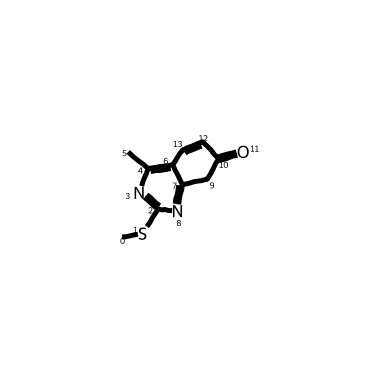 CSc1nc(C)c2c(n1)CC(=O)C=C2